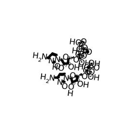 Nc1ccn([C@@H]2O[C@@H](CO[P@@](=O)(O)O[P@](=O)(O)OP(=O)(O)O)[C@H](O)[C@H]2O)c(=O)n1.Nc1ccn([C@@H]2O[C@H](COP(=O)(O)OP(=O)(O)O)[C@@H](O)[C@H]2O)c(=O)n1